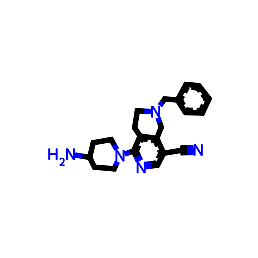 N#Cc1cnc(N2CCC(N)CC2)c2c1CN(Cc1ccccc1)CC2